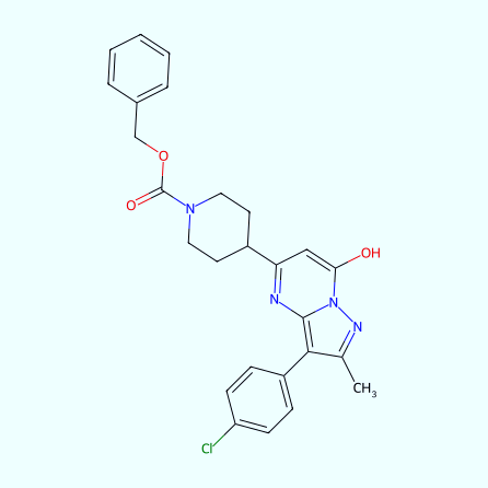 Cc1nn2c(O)cc(C3CCN(C(=O)OCc4ccccc4)CC3)nc2c1-c1ccc(Cl)cc1